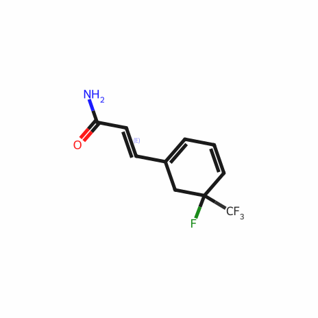 NC(=O)/C=C/C1=CC=CC(F)(C(F)(F)F)C1